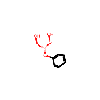 OOB(OO)Oc1ccccc1